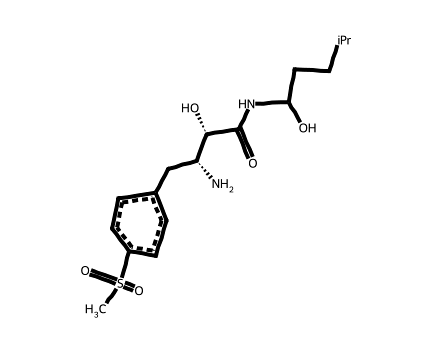 CC(C)CCC(O)NC(=O)[C@@H](O)[C@H](N)Cc1ccc(S(C)(=O)=O)cc1